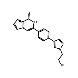 O=c1[nH]c(-c2ccc(-c3cnn(CCO)c3)cc2)cn2cccc12